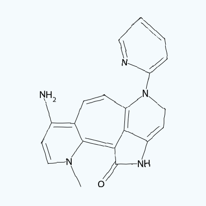 CN1C=CC(N)=c2ccc3c4c([nH]c(=O)c-4c21)=CCN3c1ccccn1